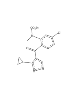 CCOC(=O)N(C)c1cc(Cl)ccc1C(=O)c1cnoc1C1CC1